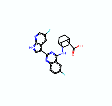 O=C(O)C1C2CCC(CC2)C1Nc1nc(-c2c[nH]c3ncc(F)cc23)nc2ccc(F)cc12